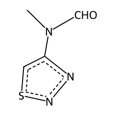 CN(C=O)c1csnn1